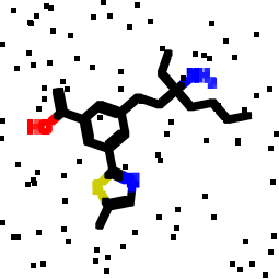 C=C(O)c1cc(CCC(N)(CC)CCCC)cc(-c2ncc(C)s2)c1